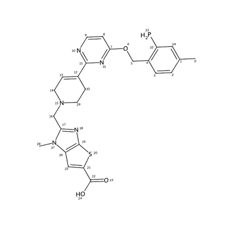 Cc1ccc(COc2ccnc(C3=CCN(Cc4nc5sc(C(=O)O)cc5n4C)CC3)n2)c(P)c1